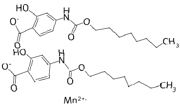 CCCCCCCCOC(=O)Nc1ccc(C(=O)[O-])c(O)c1.CCCCCCCCOC(=O)Nc1ccc(C(=O)[O-])c(O)c1.[Mn+2]